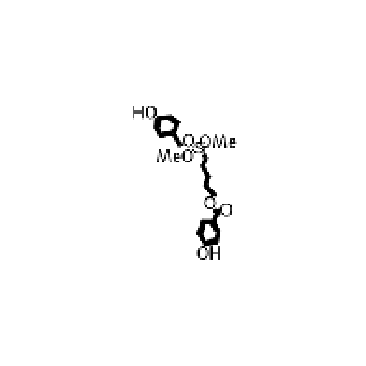 CO[Si](CCCCCOC(=O)c1ccc(O)cc1)(OC)OCc1ccc(O)cc1